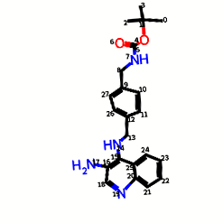 CC(C)(C)OC(=O)NCc1ccc(CNc2c(N)cnc3ccccc23)cc1